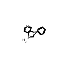 CN1CN(c2ccccc2)c2cnccc21